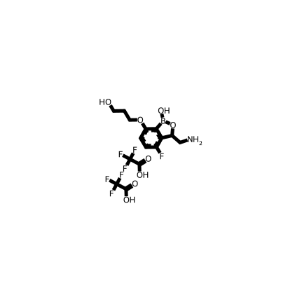 NCC1OB(O)c2c(OCCCO)ccc(F)c21.O=C(O)C(F)(F)F.O=C(O)C(F)(F)F